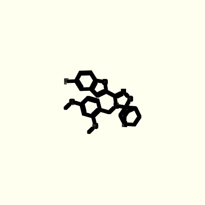 COc1ccc(CN2C(c3cc4cc(F)ccc4o3)=NOC23CN2CCC3CC2)c(OC)c1